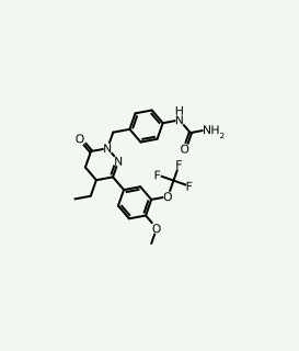 CCC1CC(=O)N(Cc2ccc(NC(N)=O)cc2)N=C1c1ccc(OC)c(OC(F)(F)F)c1